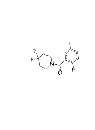 Cc1ccc(F)c(C(=O)N2CCC(F)(F)CC2)c1